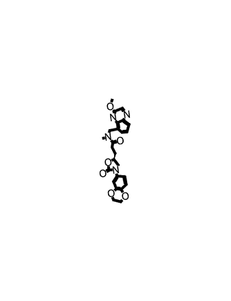 COc1cnc2cccc(CN(C)C(=O)CC[C@H]3CN(c4ccc5c(c4)OCCO5)C(=O)O3)c2n1